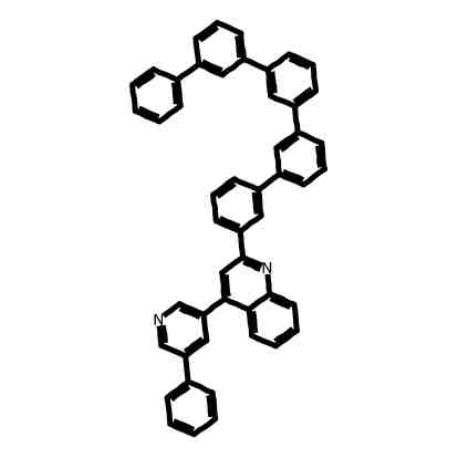 c1ccc(-c2cccc(-c3cccc(-c4cccc(-c5cccc(-c6cc(-c7cncc(-c8ccccc8)c7)c7ccccc7n6)c5)c4)c3)c2)cc1